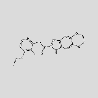 CCOc1ccnc(C[S+]([O-])c2nc3cc4c(cc3[nH]2)OCCO4)c1C